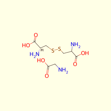 NC(CSSC[C@H](N)C(=O)O)C(=O)O.NCC(=O)O